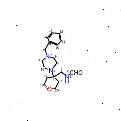 O=CNCC1(N2CCN(Cc3ccccc3)CC2)CCOCC1